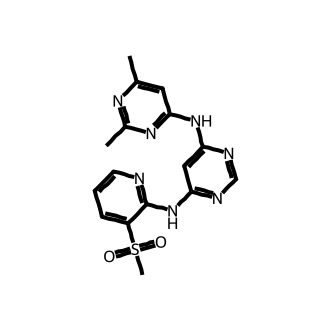 Cc1cc(Nc2cc(Nc3ncccc3S(C)(=O)=O)ncn2)nc(C)n1